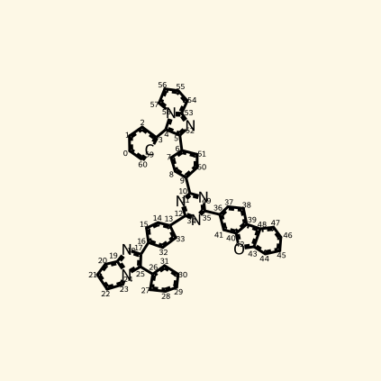 c1ccc(-c2c(-c3ccc(-c4nc(-c5ccc(-c6nc7ccccn7c6-c6ccccc6)cc5)nc(-c5ccc6c(c5)oc5ccccc56)n4)cc3)nc3ccccn23)cc1